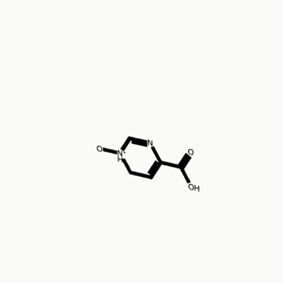 O=C(O)C1=CC[NH+]([O-])C=N1